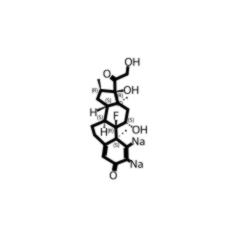 C[C@@H]1C[C@H]2[C@@H]3CCC4=CC(=O)[C]([Na])=[C]([Na])[C@]4(C)[C@@]3(F)[C@@H](O)C[C@]2(C)[C@@]1(O)C(=O)CO